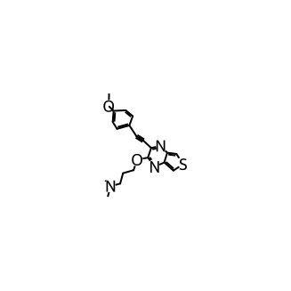 COc1ccc(C#Cc2nc3cscc3nc2OCCCN(C)C)cc1